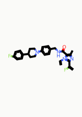 C=Cn1c(C(=C)F)nc(C)c1C(=O)NCc1ccc(N2CCC(c3ccc(F)cc3)CC2)cc1